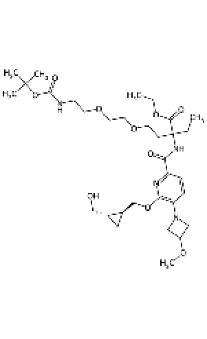 CCOC(=O)C(CC)(CCOCCOCCNC(=O)OC(C)(C)C)NC(=O)c1ccc(N2CC(OC)C2)c(OC[C@H]2C[C@@H]2CO)n1